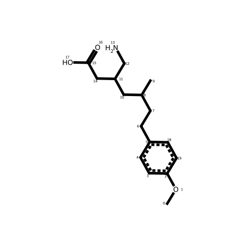 COc1ccc(CCC(C)CC(CN)CC(=O)O)cc1